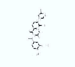 Cc1cn(-c2ccc3c(=O)n(C(C)c4ccc(OC(F)(F)F)c(O)c4)c(C)cn3c2=O)cn1